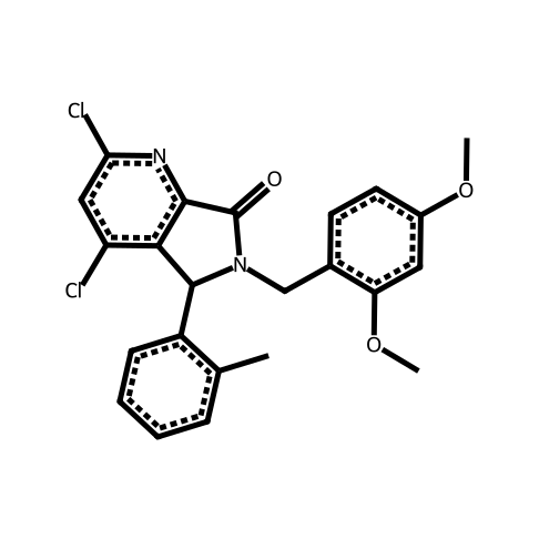 COc1ccc(CN2C(=O)c3nc(Cl)cc(Cl)c3C2c2ccccc2C)c(OC)c1